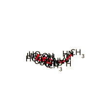 CCNCCNC(=O)c1cccc(-c2ccc(OCC(=O)NCCCO[C@@H]3OC(CO)[C@@H](O[C@@H]4OC(CO)[C@H](O)C(O[C@H]5OC(CO)[C@H](O)C(O)C5O)C4O)C(O)C3NC(C)=O)cc2)c1